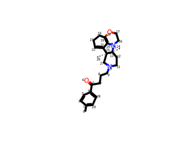 Cc1ccc(C(=O)CCCN2CC[C@]3(C)N4CCOC5=C4C(=CCC5)[C@]3(C)C2)cc1